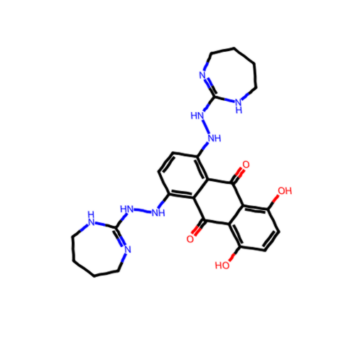 O=C1c2c(O)ccc(O)c2C(=O)c2c(NNC3=NCCCCN3)ccc(NNC3=NCCCCN3)c21